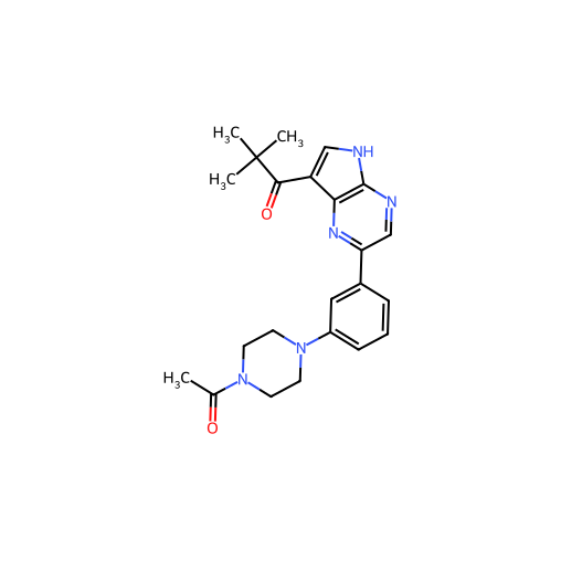 CC(=O)N1CCN(c2cccc(-c3cnc4[nH]cc(C(=O)C(C)(C)C)c4n3)c2)CC1